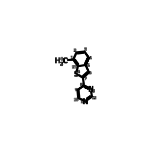 Cc1cccc2cc(-c3ccncn3)sc12